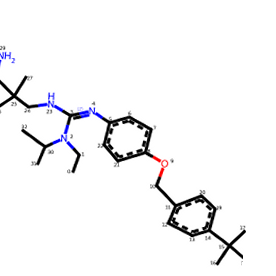 CCN(/C(=N\c1ccc(OCc2ccc(C(C)(C)C)cc2)cc1)NCC(C)(C)CN)C(C)C